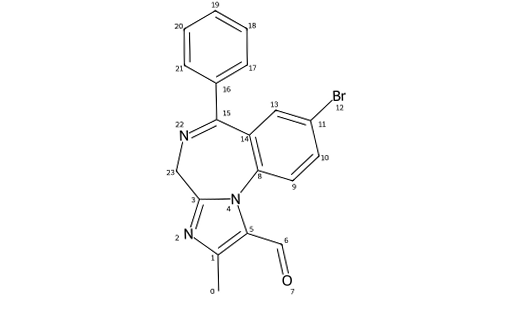 Cc1nc2n(c1C=O)-c1ccc(Br)cc1C(c1ccccc1)=NC2